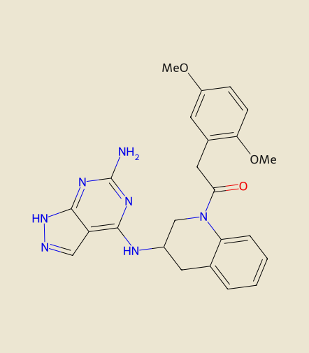 COc1ccc(OC)c(CC(=O)N2CC(Nc3nc(N)nc4[nH]ncc34)Cc3ccccc32)c1